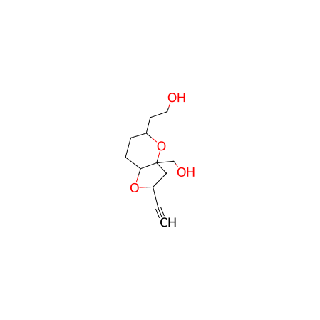 C#CC1CC2(CO)OC(CCO)CCC2O1